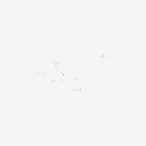 CCCCCCCCCCCCCCCCC(CCCCC)CN(CC(O)CO)C(=O)C(CCCCC)CCCCCCCC